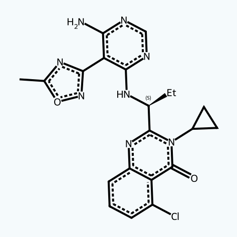 CC[C@H](Nc1ncnc(N)c1-c1noc(C)n1)c1nc2cccc(Cl)c2c(=O)n1C1CC1